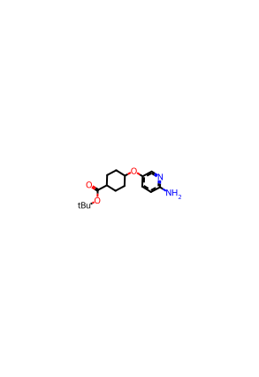 CC(C)(C)OC(=O)C1CCC(Oc2ccc(N)nc2)CC1